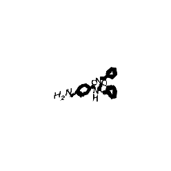 NC[C@H]1CC[C@H](C(=O)N[C@@H](Cc2ccccc2)c2ncc(-c3ccccc3)o2)CC1